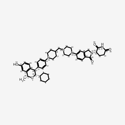 C[C@H]1O[C@@H](C2CCCCC2)[C@H](c2ccc(N3CCC(CN4CCN(c5ccc6c(c5)CN([C@H]5CCC(=O)NC5=O)C6=O)CC4)CC3)cc2)c2ccc(O)cc21